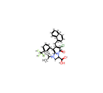 CC(C)N1CC(C(=O)O)n2c1c(-c1cccc(C(F)(F)F)c1)c(Cc1cccc3ccccc13)c(Cl)c2=O